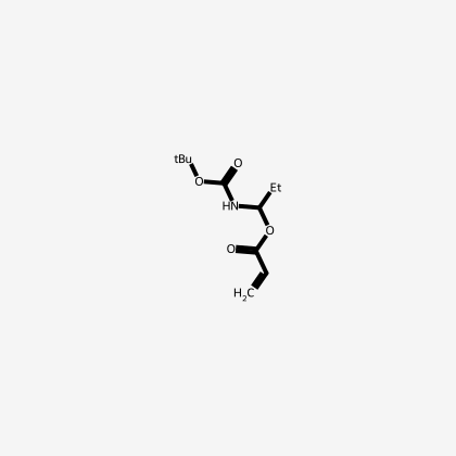 C=CC(=O)OC(CC)NC(=O)OC(C)(C)C